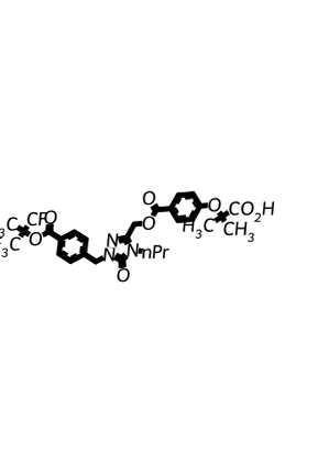 CCCn1c(COC(=O)c2ccc(OC(C)(C)C(=O)O)cc2)nn(Cc2ccc(C(=O)OC(C)(C(F)(F)F)C(F)(F)F)cc2)c1=O